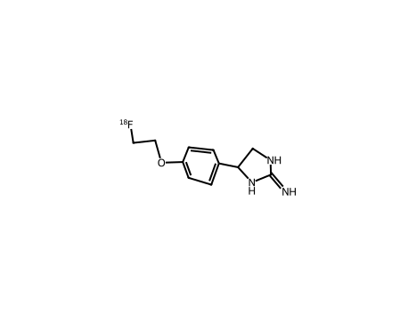 N=C1NCC(c2ccc(OCC[18F])cc2)N1